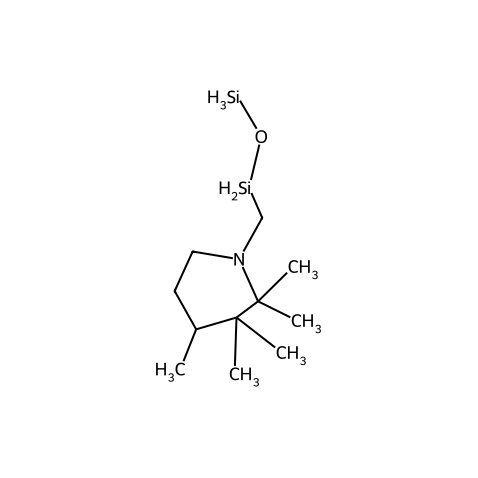 CC1CCN(C[SiH2]O[SiH3])C(C)(C)C1(C)C